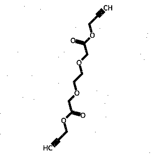 C#CCOC(=O)COCCOCC(=O)OCC#C